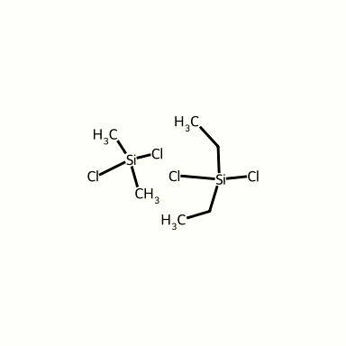 CC[Si](Cl)(Cl)CC.C[Si](C)(Cl)Cl